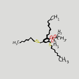 CCCCCCCCSCc1cc(CCCCCCCC)c(OC(=O)OC(C)(C)C)c(CSCCCCCCCC)c1